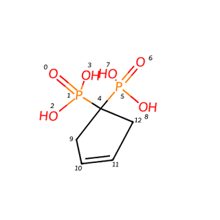 O=P(O)(O)C1(P(=O)(O)O)CC=CC1